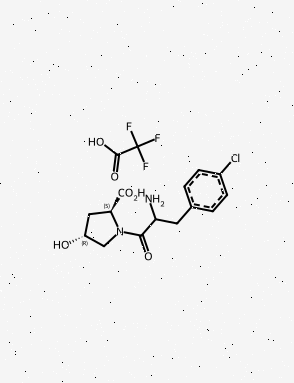 NC(Cc1ccc(Cl)cc1)C(=O)N1C[C@H](O)C[C@H]1C(=O)O.O=C(O)C(F)(F)F